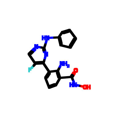 Nc1c(C(=O)NO)cccc1-c1nc(Nc2ccccc2)ncc1F